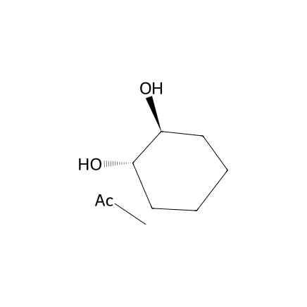 CC(C)=O.O[C@H]1CCCC[C@@H]1O